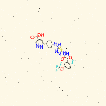 CO[C@@H](C(=O)Nc1nnc(N[C@H]2CC[C@@H](c3cc(C(=O)O)cnn3)CC2)s1)c1cc(OC(F)(F)F)ccc1F